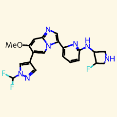 COc1cc2ncc(-c3cccc(NC4CNCC4F)n3)n2cc1-c1cnn(C(F)F)c1